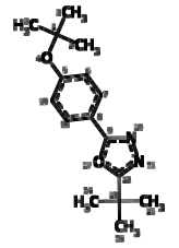 CC(C)(C)Oc1ccc(-c2nnc(C(C)(C)C)o2)cc1